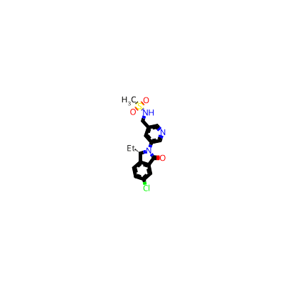 CC[C@H]1c2ccc(Cl)cc2C(=O)N1c1cncc(CNS(C)(=O)=O)c1